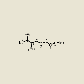 CCCCCCOCOC[CH]([Sn])C(CC)CC